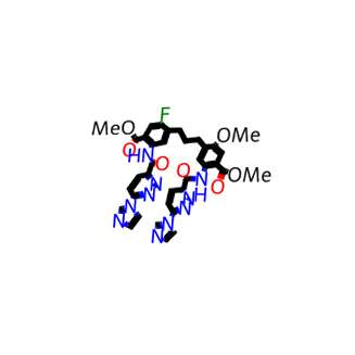 COC(=O)c1cc(F)c(CCCc2cc(NC(=O)c3ccc(-n4ccnc4)nn3)c(C(=O)OC)cc2OC)cc1NC(=O)c1ccc(-n2ccnc2)nn1